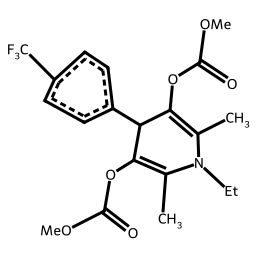 CCN1C(C)=C(OC(=O)OC)C(c2ccc(C(F)(F)F)cc2)C(OC(=O)OC)=C1C